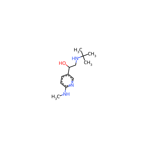 CNc1ccc(C(O)CNC(C)(C)C)cn1